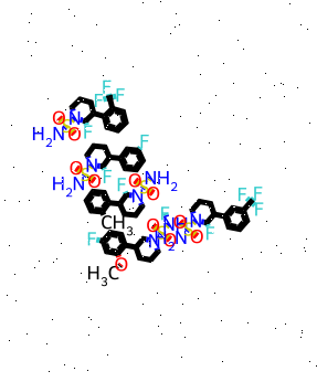 COc1cc(F)ccc1C1CCCN(S(=O)(=O)NF)C1.Cc1ccccc1C1CCCN(S(N)(=O)=O)C1F.NS(=O)(=O)N1CCCC(c2cccc(C(F)(F)F)c2)C1F.NS(=O)(=O)N1CCCC(c2cccc(F)c2)C1F.NS(=O)(=O)N1CCCC(c2ccccc2C(F)(F)F)C1F